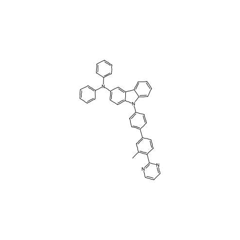 Cc1cc(-c2ccc(-n3c4ccccc4c4cc(N(c5ccccc5)c5ccccc5)ccc43)cc2)ccc1-c1ncccn1